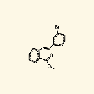 COC(=O)c1ccccc1C=Cc1cccc(Br)c1